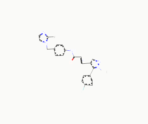 CC(C)c1nccn1Cc1ccc(NC(=O)/C=C/c2cnn(C)c2-c2ccc(F)cc2)cc1